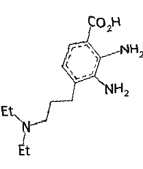 CCN(CC)CCCc1ccc(C(=O)O)c(N)c1N